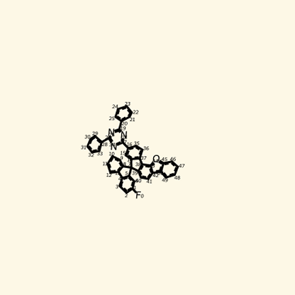 Fc1ccc2c(c1)C1(c3ccccc3-2)c2cc(-c3nc(-c4ccccc4)nc(-c4ccccc4)n3)ccc2-c2c1ccc1c2oc2ccccc21